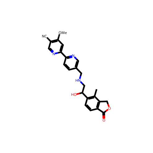 COc1cc(-c2ccc(CNCC(O)c3ccc4c(c3C)COC4=O)cn2)ncc1C#N